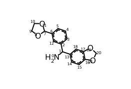 NC(c1cccc(C2OCCO2)c1)c1ccc2c(c1)OCO2